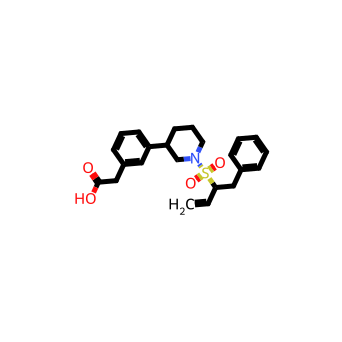 C=CC(Cc1ccccc1)S(=O)(=O)N1CCCC(c2cccc(CC(=O)O)c2)C1